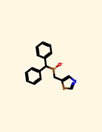 [O-][S@@+](Cc1cncs1)C(c1ccccc1)c1ccccc1